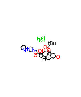 CC(C)(C)CC(=O)OC1C[C@@]2(C)[C@@H](CC[C@]2(O)C(=O)CN2CCN(c3ccccn3)CC2)[C@@H]2CCC3=CC(=O)CC[C@]3(C)[C@@H]12.Cl.Cl